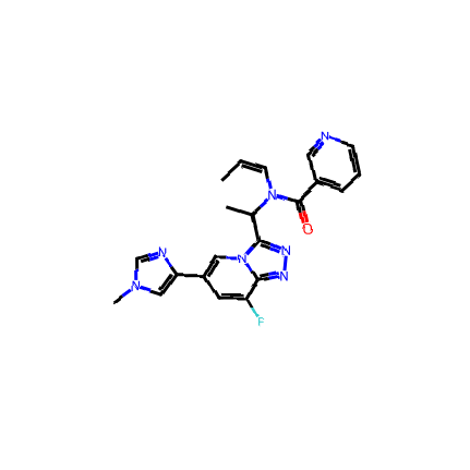 C/C=C\N(C(=O)c1cccnc1)C(C)c1nnc2c(F)cc(-c3cn(C)cn3)cn12